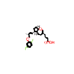 C[C@H](/C=C/[C@H]1CC[C@@H]2OC[C@@H](CCCC(=O)O)CC[C@@H]21)COc1cc(F)ccc1F